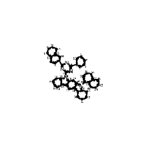 c1ccc(-c2nc(-c3ccc4ccccc4c3)nc(-n3c4ccccc4c4cc5c6ccccc6n(-c6cccc7ccccc67)c5cc43)n2)cc1